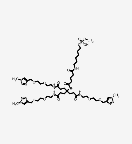 COP(=O)(O)OCCCCCCNC(=O)CCCC(=O)NC(CCC(=O)NCCOCCOCc1cn(C)nn1)(CCC(=O)NCCOCCOCc1cn(C)nn1)CCC(=O)NCCOCCOCc1cn(C)nn1